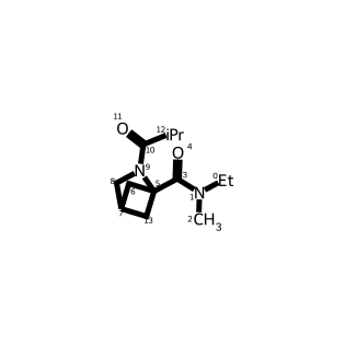 CCN(C)C(=O)C12CC(CN1C(=O)C(C)C)C2